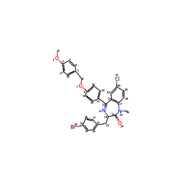 COc1ccc(COc2ccc(C3=NC(Cc4ccc(Br)cc4)C(=O)N(C)c4ccc(Cl)cc43)cc2)cc1